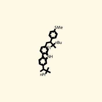 CCCCC(C)(CC)C(Cc1ccc2c(c1)[nH]c1cc(C(C)C(C)(C)CCC)ccc12)c1ccc(SC)cc1